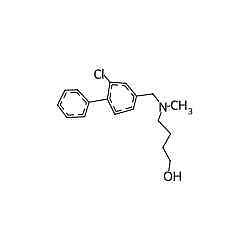 CN(CCCCO)Cc1ccc(-c2ccccc2)c(Cl)c1